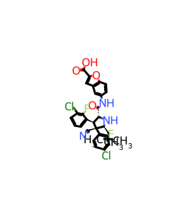 CC(C)(C)C[C@@H]1N[C@@H](C(=O)Nc2ccc3oc(C(=O)O)cc3c2)[C@H](c2cccc(Cl)c2F)[C@@]1(C#N)c1ccc(Cl)cc1F